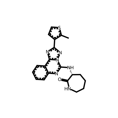 Cc1sccc1-c1nc2c3ccccc3nc(N[C@@H]3CCCCNC3=O)n2n1